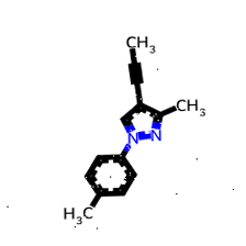 CC#Cc1cn(-c2ccc(C)cc2)nc1C